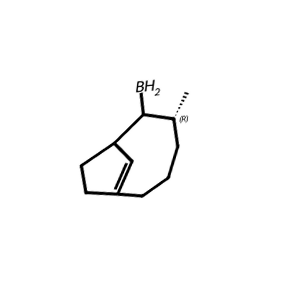 BC1C2C=C(CCC[C@H]1C)CC2